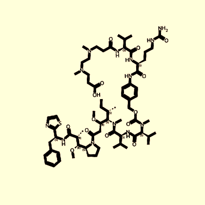 CC[C@H](C)[C@@H]([C@@H](CC(=O)N1CCC[C@H]1[C@H](OC)[C@@H](C)C(=O)N[C@@H](Cc1ccccc1)c1nccs1)OC)N(C)C(=O)[C@@H](NC(=O)[C@H](C(C)C)N(C)C(=O)OCc1ccc(NC(=O)[C@H](CCCNC(N)=O)NC(=O)[C@@H](NC(=O)CCN(C)CCN(C)CCC(=O)O)C(C)C)cc1)C(C)C